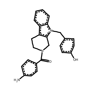 Nc1ccc(C(=O)N2CCc3c(n(Cc4ccc(O)cc4)c4ccccc34)C2)cc1